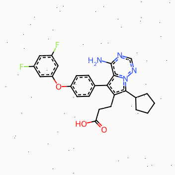 Nc1ncnn2c(C3CCCC3)c(CCC(=O)O)c(-c3ccc(Oc4cc(F)cc(F)c4)cc3)c12